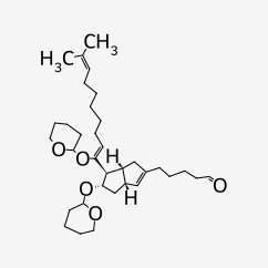 CC(C)=CCCCCCC=C(OC1CCCCO1)[C@H]1[C@@H]2CC(CCCCC=O)=C[C@@H]2C[C@@H]1OC1CCCCO1